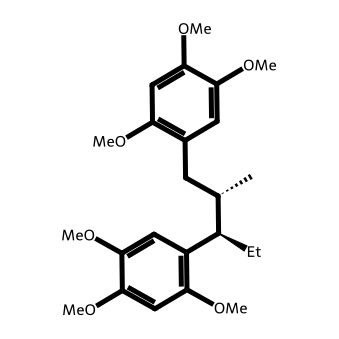 CC[C@@H](c1cc(OC)c(OC)cc1OC)[C@@H](C)Cc1cc(OC)c(OC)cc1OC